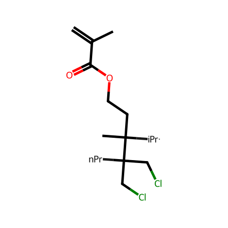 [CH2]CCC(CCl)(CCl)C(C)(CCOC(=O)C(=C)C)[C](C)C